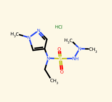 CCN(c1cnn(C)c1)S(=O)(=O)NN(C)C.Cl